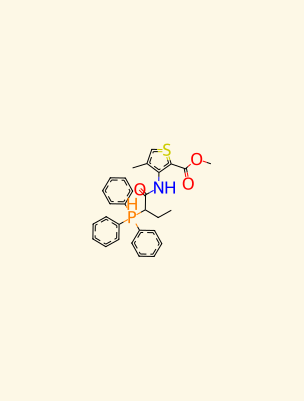 CCC(C(=O)Nc1c(C)csc1C(=O)OC)[PH](c1ccccc1)(c1ccccc1)c1ccccc1